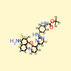 Cc1c(F)c(N)c2ccccc2c1Oc1ncccc1-c1ccnc(N[C@H]2CC[C@H](NC(=O)OC(C)(C)C)CC2)n1